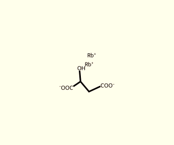 O=C([O-])CC(O)C(=O)[O-].[Rb+].[Rb+]